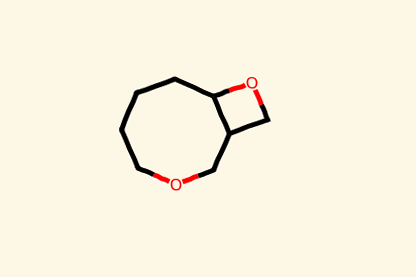 C1CCC2OCC2COC1